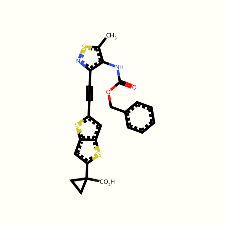 Cc1snc(C#Cc2cc3sc(C4(C(=O)O)CC4)cc3s2)c1NC(=O)OCc1ccccc1